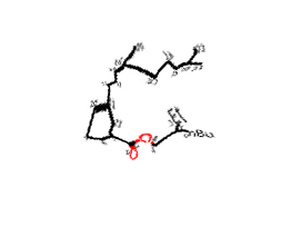 CCCCC(CC)COC(=O)C1CCC=C(CCC=C(C)CCC=C(C)C)C1